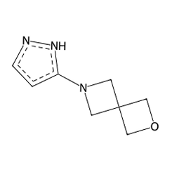 c1cc(N2CC3(COC3)C2)[nH]n1